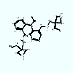 CCC(c1ccccc1COCC1(CC)COC1)c1ccccc1COCC1(CC)COC1